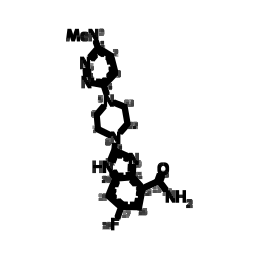 CNc1ccc(N2CCN(c3nc4c(C(N)=O)cc(F)cc4[nH]3)CC2)nn1